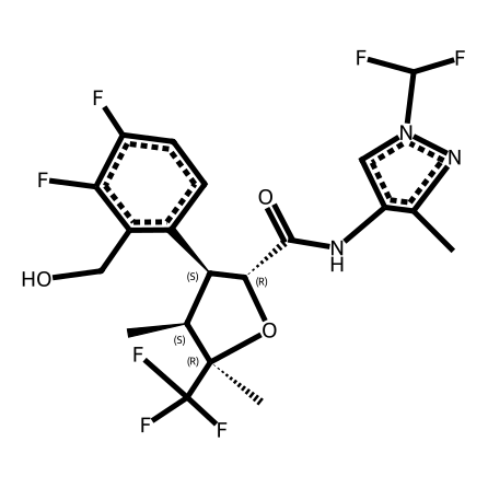 Cc1nn(C(F)F)cc1NC(=O)[C@@H]1O[C@@](C)(C(F)(F)F)[C@@H](C)[C@H]1c1ccc(F)c(F)c1CO